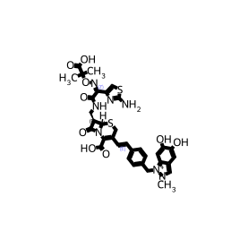 Cn1cc2cc(O)c(O)cc2[n+]1Cc1ccc(/C=C/C2=C(C(=O)O)N3C(=O)[C@@H](CNC(=O)/C(=N\OC(C)(C)C(=O)O)c4csc(N)n4)[C@H]3SC2)cc1